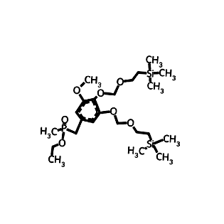 CCOP(C)(=O)Cc1cc(OC)c(OCOCC[Si](C)(C)C)c(OCOCC[Si](C)(C)C)c1